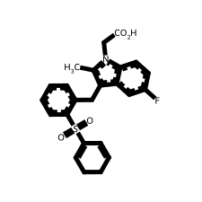 Cc1c(Cc2ccccc2S(=O)(=O)C2=CCCC=C2)c2cc(F)ccc2n1CC(=O)O